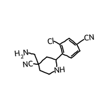 N#Cc1ccc(C2CC(C#N)(CN)CCN2)c(Cl)c1